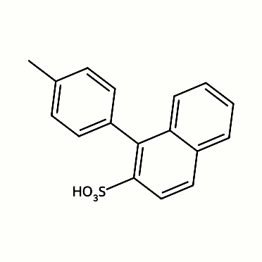 Cc1ccc(-c2c(S(=O)(=O)O)ccc3ccccc23)cc1